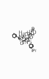 CC(C)c1ccc(Sc2nc3c(=O)n4cc(-c5ccccc5)[nH]c4nc3n2[C@@H]2OC3CO[PH](=O)O[C@H]3[C@@H]2O)cc1